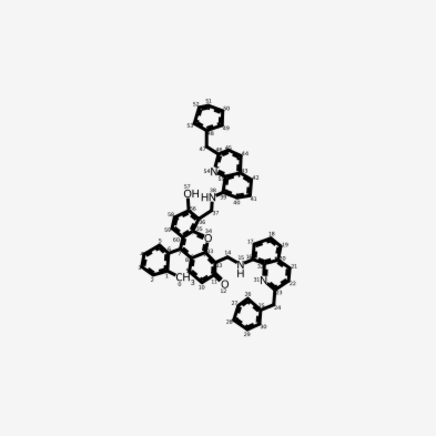 Cc1ccccc1-c1c2ccc(=O)c(CNc3cccc4ccc(Cc5ccccc5)nc34)c-2oc2c(CNc3cccc4ccc(Cc5ccccc5)nc34)c(O)ccc12